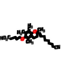 Cc1c(C)c2c(c(C)c1OCCCCC(=O)O)CCC(C)(C=CCCCCCCC#N)O2